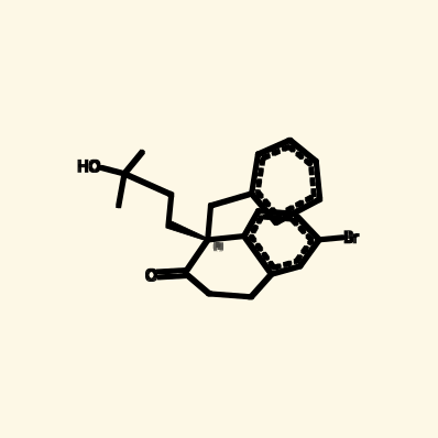 CC(C)(O)CC[C@]1(Cc2ccccc2)C(=O)CCc2cc(Br)ccc21